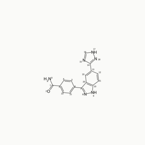 NC(=O)c1ccc(-c2n[nH]c3ccc(-c4nc[nH]n4)cc23)cc1